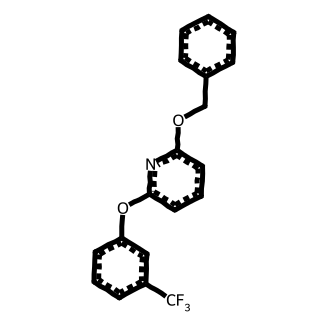 FC(F)(F)c1cccc(Oc2cccc(OCc3ccccc3)n2)c1